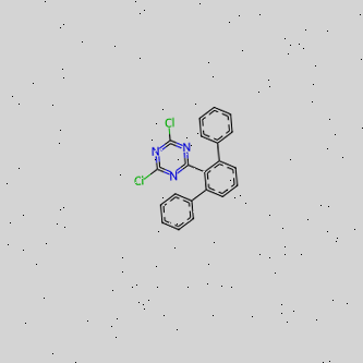 Clc1nc(Cl)nc(-c2c(-c3ccccc3)cccc2-c2ccccc2)n1